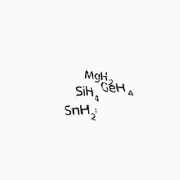 [GeH4].[MgH2].[SiH4].[SnH2]